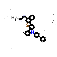 C/C=C\C=C/c1cc2sc3c(ccc4c3c3ccccc3n4-c3ccc(-c4ccccc4)cc3)c2c2ccccc12